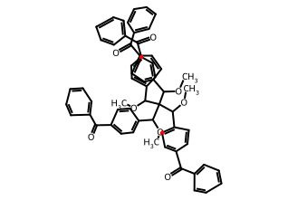 COC(c1ccc(C(=O)c2ccccc2)cc1)C(C(OC)c1ccc(C(=O)c2ccccc2)cc1)(C(OC)c1ccc(C(=O)c2ccccc2)cc1)C(OC)c1ccc(C(=O)c2ccccc2)cc1